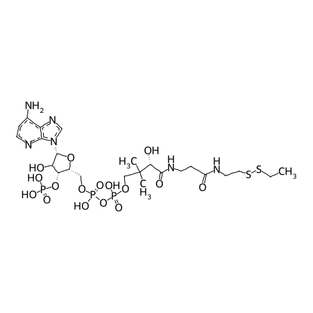 CCSSCCNC(=O)CCNC(=O)[C@@H](O)C(C)(C)COP(=O)(O)OP(=O)(O)OC[C@H]1O[C@@H](n2cnc3c(N)ccnc32)C(O)[C@H]1OP(=O)(O)O